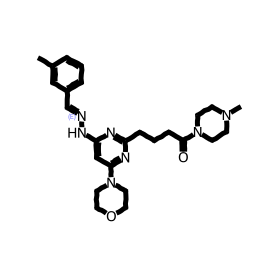 Cc1cccc(/C=N/Nc2cc(N3CCOCC3)nc(CCCC(=O)N3CCN(C)CC3)n2)c1